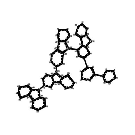 c1ccc(-c2cccc(-c3cc(-n4c5ccccc5c5ccc(-n6c7ccccc7c7cc(-n8c9ccccc9c9ccccc98)ccc76)cc54)c4c(c3)sc3ccccc34)c2)cc1